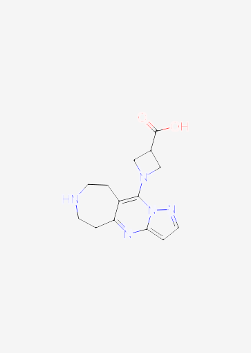 O=C(O)C1CN(c2c3c(nc4ccnn24)CCNCC3)C1